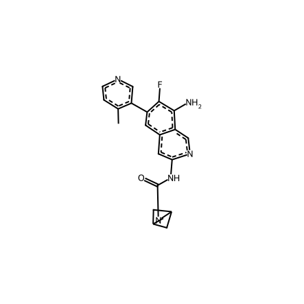 Cc1ccncc1-c1cc2cc(NC(=O)N3CC4CC3C4)ncc2c(N)c1F